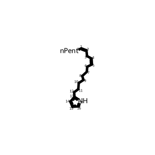 CCCCC/C=C\C/C=C\CCCCCCCc1ccc[nH]1